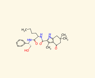 CCCCC(NC(=O)c1[nH]c2c(c1C)C(=O)CC(C)(C)C2)C(=O)N[C@H](CO)c1ccccc1